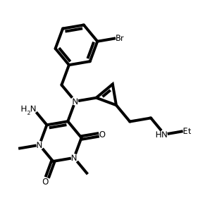 CCNCCC1C=C1N(Cc1cccc(Br)c1)c1c(N)n(C)c(=O)n(C)c1=O